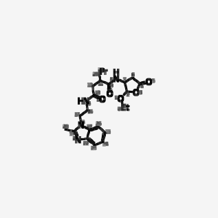 CCOC1OC(=O)CC1NC(=O)C(CC(=O)NCCn1c(C)nc2ccccc21)C(C)C